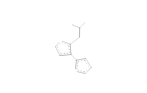 OC(F)[CH]c1sccc1-c1ccco1